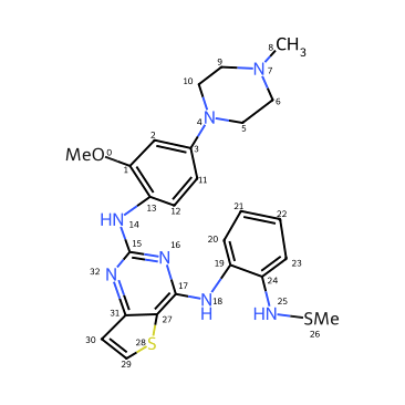 COc1cc(N2CCN(C)CC2)ccc1Nc1nc(Nc2ccccc2NSC)c2sccc2n1